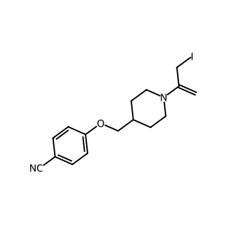 C=C(CI)N1CCC(COc2ccc(C#N)cc2)CC1